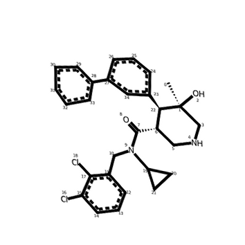 C[C@]1(O)CNC[C@H](C(=O)N(Cc2cccc(Cl)c2Cl)C2CC2)[C@H]1c1cccc(-c2ccccc2)c1